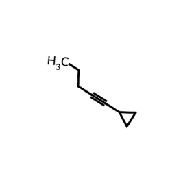 CCCC#CC1CC1